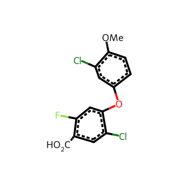 COc1ccc(Oc2cc(F)c(C(=O)O)cc2Cl)cc1Cl